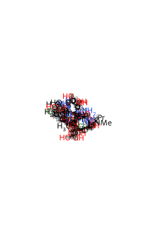 CN[C@H](CC(C)C)C(=O)N[C@H]1C(=O)N[C@@H](CC(N)=O)C(=O)N[C@H]2C(=O)N[C@H]3C(=O)N[C@H](C(=O)N[C@H](C(=O)O)c4cc(O)cc(O)c4-c4cc3ccc4O)[C@H](O[C@H]3C[C@](C)(N)[C@@H](O)[C@H](C)O3)c3ccc(c(Cl)c3)Oc3cc2cc(c3O[C@@H]2O[C@H](CO)[C@@H](O)[C@H](O)[C@H]2O[C@@H]2O[C@@H](C)[C@H](O)[C@@](C)(NCc3ccc(-c4ccc(Cl)cc4)cc3)O2)Oc2ccc(cc2Cl)[C@H]1O